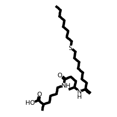 C=C(CCCCCCCSCCCCCCCC)NC(C)CCC(=O)NCCCCC(C)C(=O)O